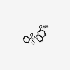 COc1ccc2ccn(S(=O)(=O)c3ccccc3)c2c1